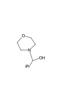 C[C](C)C(O)N1CCOCC1